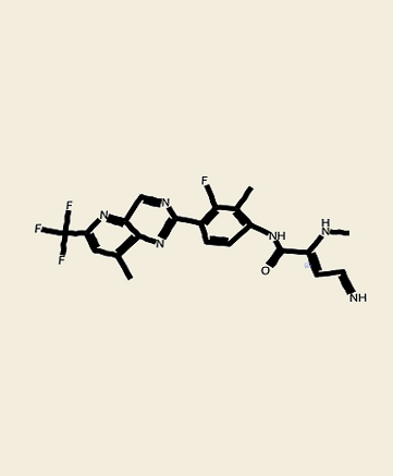 CN/C(=C\C=N)C(=O)Nc1ccc(-c2ncc3nc(C(F)(F)F)cc(C)c3n2)c(F)c1C